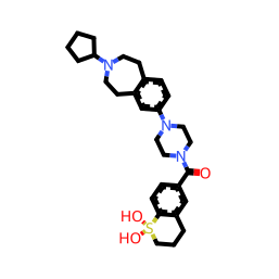 O=C(c1ccc2c(c1)CCCS2(O)O)N1CCN(c2ccc3c(c2)CCN(C2CCCC2)CC3)CC1